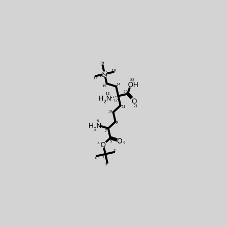 CC(C)(C)OC(=O)C(N)CCC[C@@](N)(CC[Si](C)(C)C)C(=O)O